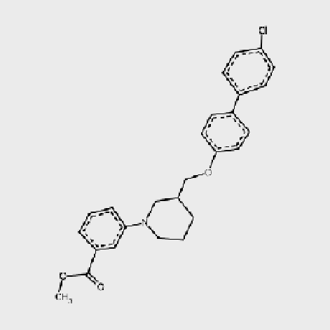 COC(=O)c1cccc(N2CCCC(COc3ccc(-c4ccc(Cl)cc4)cc3)C2)c1